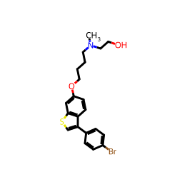 CN(CCO)CCCCOc1ccc2c(-c3ccc(Br)cc3)csc2c1